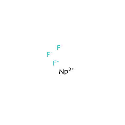 [F-].[F-].[F-].[Np+3]